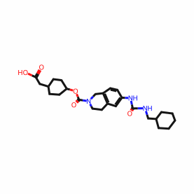 O=C(O)CC1CCC(OC(=O)N2CCc3cc(NC(=O)NCC4CCCCC4)ccc3C2)CC1